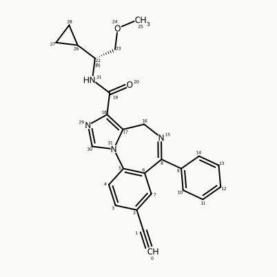 C#Cc1ccc2c(c1)C(c1ccccc1)=NCc1c(C(=O)N[C@@H](COC)C3CC3)ncn1-2